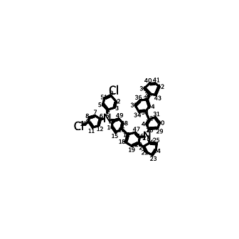 Clc1ccc(N(c2ccc(Cl)cc2)c2ccc(-c3ccc4c5ccccc5n(-c5cccc(-c6cccc(-c7ccccc7)c6)c5)c4c3)cc2)cc1